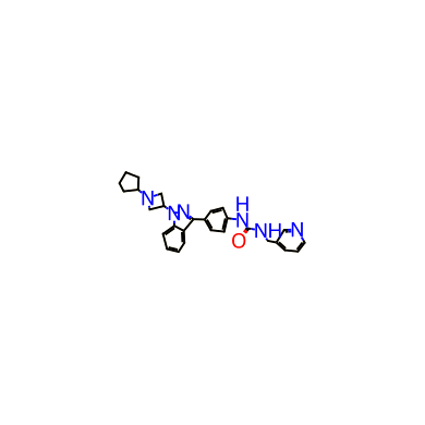 O=C(NCc1cccnc1)Nc1ccc(-c2nn(C3CN(C4CCCC4)C3)c3ccccc23)cc1